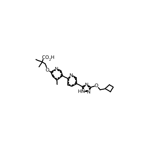 Cc1cc(OCC(C)(C)C(=O)O)ncc1-c1ccc(-c2nc(OCC3CCC3)n[nH]2)cn1